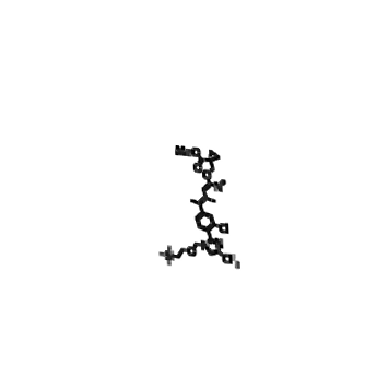 C=N/C(=C\C(C)=C(/C)c1ccc(-c2nc(C(F)(F)F)cn2COCC[Si](C)(C)C)c(Cl)c1)OCC1(C(=O)OC)CC1